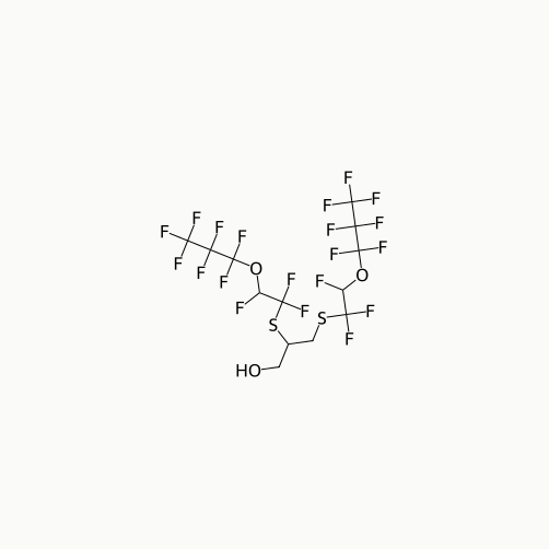 OCC(CSC(F)(F)C(F)OC(F)(F)C(F)(F)C(F)(F)F)SC(F)(F)C(F)OC(F)(F)C(F)(F)C(F)(F)F